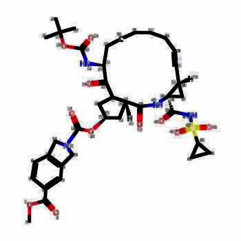 COC(=O)c1ccc2c(c1)CN(C(=O)O[C@H]1CC3C(=O)[C@@H](NC(=O)OC(C)(C)C)CCCCC/C=C\[C@@H]4C[C@@]4(C(=O)NS(=O)(=O)C4CC4)NC(=O)[C@@H]3C1)C2